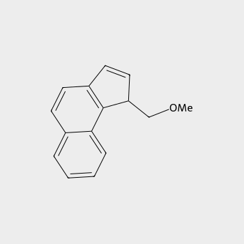 COCC1C=Cc2ccc3ccccc3c21